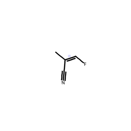 C/C(C#N)=C/F